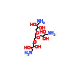 NCC(O)C(O)COCC(COCC(O)C(O)CN)OCC(O)C(O)CN